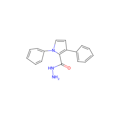 NNC(=O)c1c(-c2ccccc2)ccn1-c1ccccc1